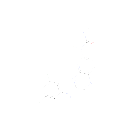 CCNC(=O)N(S)c1ccc2ncc(Nc3cc(Cl)cc(Cl)c3)nc2n1